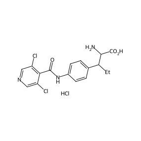 CCC(c1ccc(NC(=O)c2c(Cl)cncc2Cl)cc1)C(N)C(=O)O.Cl